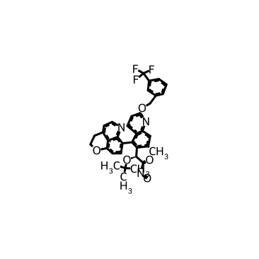 Cc1cc2nc(OCc3cccc(C(F)(F)F)c3)ccc2c(-c2ccc3c4c(ccnc24)CCO3)c1[C@H](OC(C)(C)C)C(=O)N=O